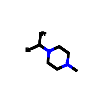 C[CH]CC(CC)N1CCN(C)CC1